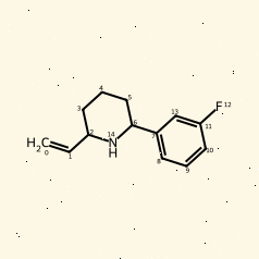 C=CC1CCCC(c2cccc(F)c2)N1